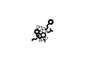 C=CCN1CC[C@]23c4c5ccc(O)c4OC2C(N(CC(C)C)C(=O)/C=C/c2ccccc2)CC[C@@]3(OC(C)=O)[C@H]1C5